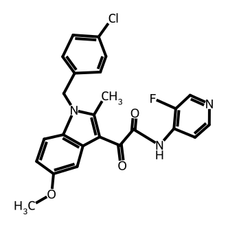 COc1ccc2c(c1)c(C(=O)C(=O)Nc1ccncc1F)c(C)n2Cc1ccc(Cl)cc1